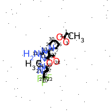 CCC(=O)OC1CCN(c2nc(N)nc(Oc3cc(C(F)(F)F)nn3C)c2C=O)CC1